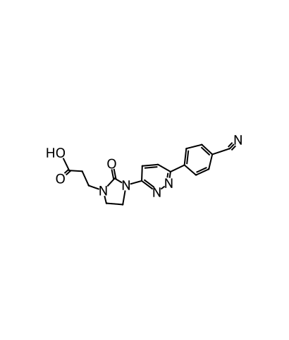 N#Cc1ccc(-c2ccc(N3CCN(CCC(=O)O)C3=O)nn2)cc1